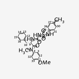 COc1ccc(N(C)C(=O)[C@H](Cc2ccccc2)NC(=O)NS(=O)(=O)Nc2ccc(C)cc2)cc1